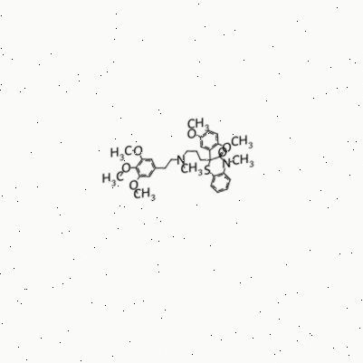 COc1ccc(OC)c(C2(CCCN(C)CCc3cc(OC)c(OC)c(OC)c3)Sc3ccccc3N(C)C2=O)c1